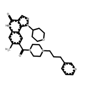 Cc1cc2[nH]c(=O)c3cnn(C4CCOCC4)c3c2cc1C(=O)N1CCN(CCCc2cccnc2)CC1